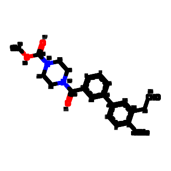 CNc1ccc(-c2cccc(C(=O)N3CCN(C(=O)OC(C)(C)C)CC3)c2)cc1CC=O